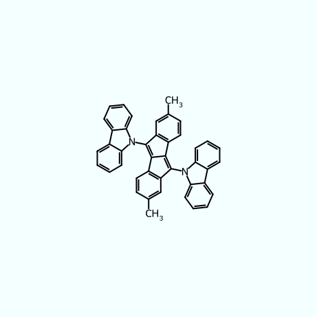 Cc1ccc2c(c1)C(n1c3ccccc3c3ccccc31)=C1C2=C(n2c3ccccc3c3ccccc32)c2cc(C)ccc21